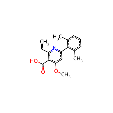 C=Cc1nc(-c2c(C)cccc2C)cc(OC)c1C(=O)O